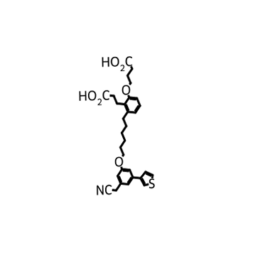 N#CCc1cc(OCCCCCCc2cccc(OCCCC(=O)O)c2CCC(=O)O)cc(-c2ccsc2)c1